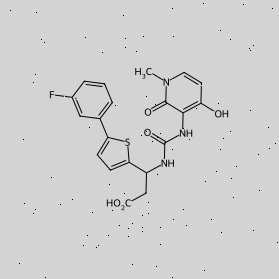 Cn1ccc(O)c(NC(=O)NC(CC(=O)O)c2ccc(-c3cccc(F)c3)s2)c1=O